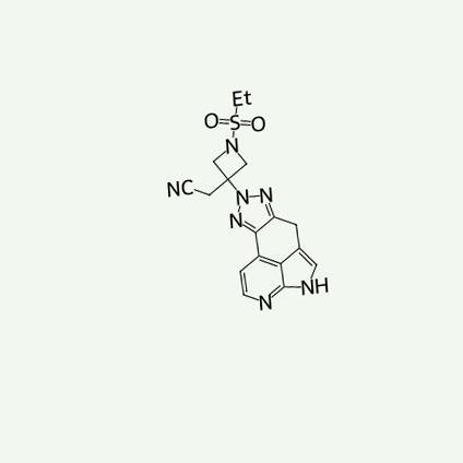 CCS(=O)(=O)N1CC(CC#N)(n2nc3c(n2)-c2ccnc4[nH]cc(c24)C3)C1